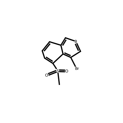 CS(=O)(=O)c1cccc2cbcc(Br)c12